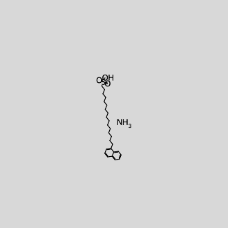 N.O=S(=O)(O)CCCCCCCCCCCCCCCCc1cccc2ccccc12